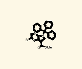 COC(=O)c1cn(C(c2ccccc2)(c2ccccc2)c2ccccc2)c2ncc(Br)nc12